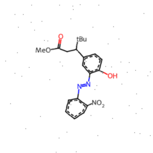 COC(=O)CC(c1ccc(O)c(N=Nc2ccccc2[N+](=O)[O-])c1)C(C)(C)C